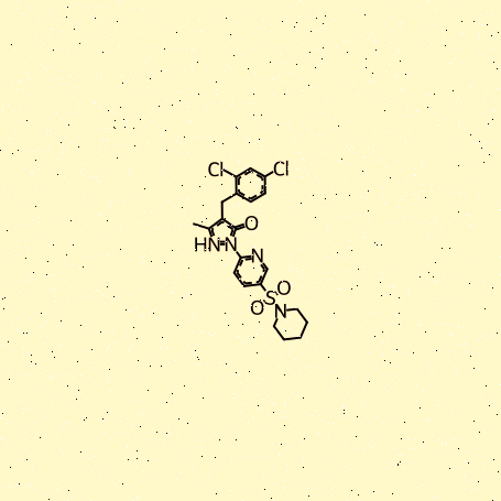 Cc1[nH]n(-c2ccc(S(=O)(=O)N3CCCCC3)cn2)c(=O)c1Cc1ccc(Cl)cc1Cl